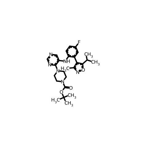 Cc1noc(C(C)C)c1-c1cc(F)ccc1Nc1cncnc1N1CCN(C(=O)OC(C)(C)C)CC1